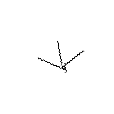 [CH2]Cc1cc(SCCCCCCCCCCCCCCC)c(SCCCCCCCCCCCCCCC)c(SCCCCCCCCCCCCCCC)c1